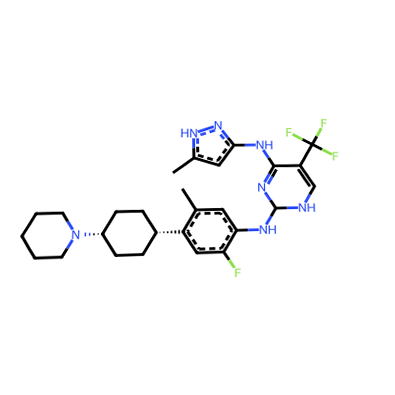 Cc1cc(NC2=NC(Nc3cc(C)c([C@H]4CC[C@@H](N5CCCCC5)CC4)cc3F)NC=C2C(F)(F)F)n[nH]1